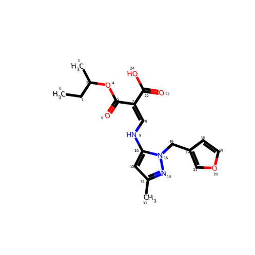 CCC(C)OC(=O)C(=CNc1cc(C)nn1Cc1ccoc1)C(=O)O